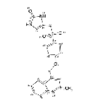 Cc1cc(COc2ccc(S(=O)(=O)Cc3c[nH]c(=O)[nH]3)cc2)c2ccccc2n1